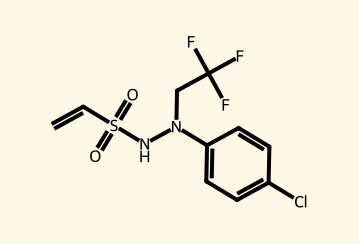 C=CS(=O)(=O)NN(CC(F)(F)F)c1ccc(Cl)cc1